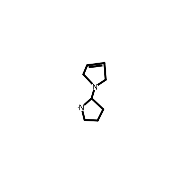 C1=CCN(C2CCC[N]2)C1